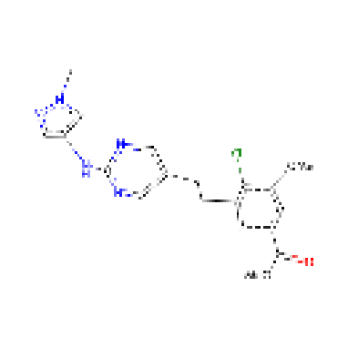 COC(=O)c1cc(CCc2cnc(Nc3cnn(C)c3)nc2)c(Cl)c(OC)c1